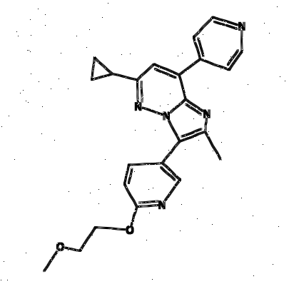 COCCOc1ccc(-c2c(C)nc3c(-c4ccncc4)cc(C4CC4)nn23)cn1